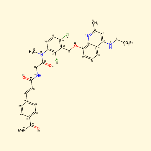 CCOC(=O)CNc1cc(C)nc2c(OCc3c(Cl)ccc(N(C)C(=O)CNC(=O)C=Cc4ccc(C(=O)NC)cc4)c3Cl)cccc12